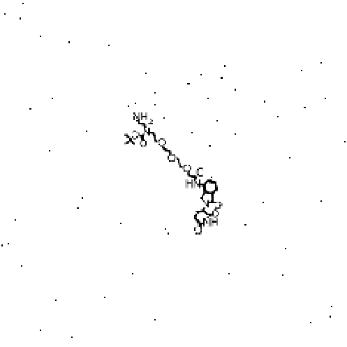 CC(C)(C)OC(=O)N(CCN)CCOCCOCCOCC(=O)Nc1cccc2c1CN(C1CCC(=O)NC1=O)C2=O